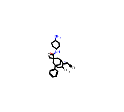 C#C/C=C1\C(C)CC2(c3ccccc3)CC1CC(CC)(C(=O)N[C@H]1CC[C@H](N)CC1)C2